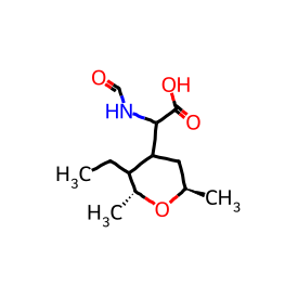 CCC1C(C(NC=O)C(=O)O)C[C@@H](C)O[C@@H]1C